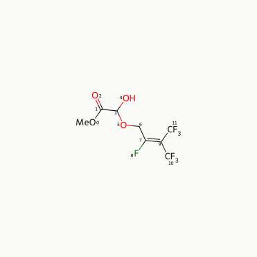 COC(=O)C(O)OCC(F)=C(C(F)(F)F)C(F)(F)F